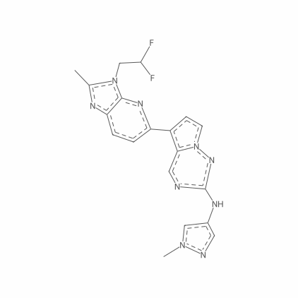 Cc1nc2ccc(-c3ccn4nc(Nc5cnn(C)c5)ncc34)nc2n1CC(F)F